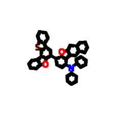 c1ccc(N(c2ccccc2)c2ccc(-c3cc4c5ccccc5sc4c4c3oc3ccccc34)c3oc4cc5ccccc5cc4c23)cc1